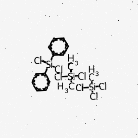 C[Si](C)(Cl)Cl.C[Si](Cl)(Cl)Cl.Cl[Si](Cl)(c1ccccc1)c1ccccc1